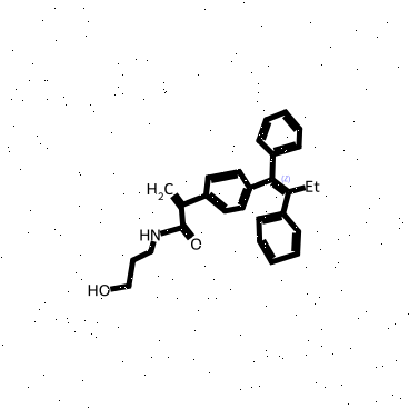 C=C(C(=O)NCCCO)c1ccc(/C(=C(/CC)c2ccccc2)c2ccccc2)cc1